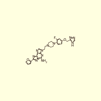 Nc1nc2c(ncn2CCN2CCN(c3ccc(OCc4nnc[nH]4)cc3F)CC2)c2nc(-c3ccco3)nn12